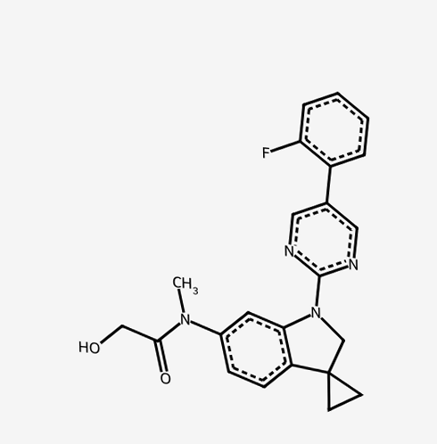 CN(C(=O)CO)c1ccc2c(c1)N(c1ncc(-c3ccccc3F)cn1)CC21CC1